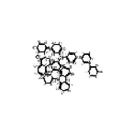 c1ccc(-c2cccc(-c3ccc(N(c4ccc(-c5ccccc5-n5c6ccccc6c6ccccc65)cc4)c4cccc(-c5cccc6oc7c8ccccc8ccc7c56)c4)cc3)c2)cc1